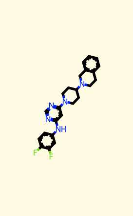 Fc1ccc(Nc2cc(N3CCC(N4CCc5ccccc5C4)CC3)ncn2)cc1F